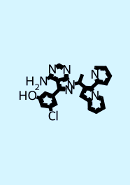 CC(c1cc2ccccn2c1-c1ccccn1)n1nc(-c2cc(O)cc(Cl)c2)c2c(N)ncnc21